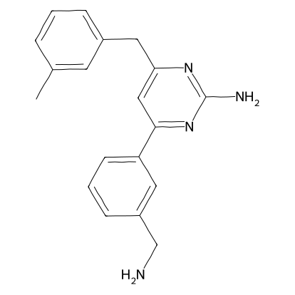 Cc1cccc(Cc2cc(-c3cccc(CN)c3)nc(N)n2)c1